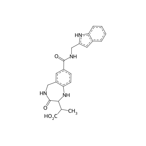 CC(C(=O)O)C1Nc2ccc(C(=O)NCc3cc4ccccc4[nH]3)cc2CNC1=O